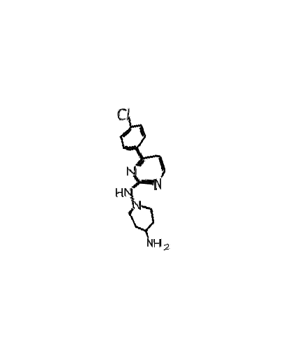 NC1CCN(Nc2nccc(-c3ccc(Cl)cc3)n2)CC1